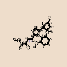 COc1cccc(OC)c1-n1c(/C=C/C(=O)N(C)OC)nnc1-c1ccc(C)o1